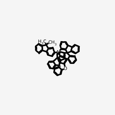 CC1(C)c2ccccc2-c2ccc(N(c3ccc4oc5ccccc5c4c3)c3cccc4c3C3(c5ccccc5-4)c4ccccc4-c4c3ccc3c4sc4ccccc43)cc21